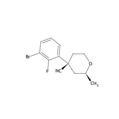 C[C@H]1C[C@](C#N)(c2cccc(Br)c2F)CCO1